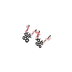 C=CC(=O)OCCOc1c(C)cc(C2(c3cc(C)c(OCCOC(=O)C=C)c(C)c3)c3ccccc3-c3ccccc32)cc1C.C=CC(=O)OCCOc1c(C)cc(C2(c3cc(C)c(OCCOC(=O)C=C)c(C)c3)c3ccccc3-c3ccccc32)cc1C